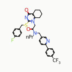 CCCN(Cc1ccc(-c2ccc(C(F)(F)F)cc2)nc1)C(=O)Cn1c(SCc2ccc(F)cc2)nc(=O)c2c1CCCC2